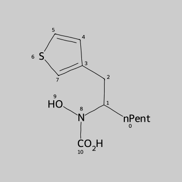 CCCCCC(Cc1ccsc1)N(O)C(=O)O